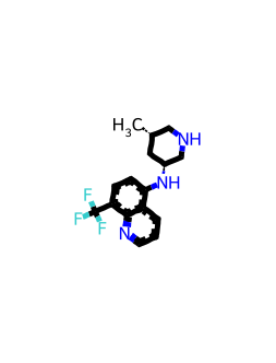 C[C@@H]1CNC[C@H](Nc2ccc(C(F)(F)F)c3ncccc23)C1